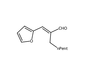 CCCCCCC(C=O)=Cc1ccco1